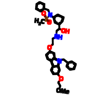 COCCOc1ccc2c3ccc(OCCNC[C@H](O)c4cccc(N(Cc5ccccc5)S(C)(=O)=O)c4)cc3n(Cc3ccccc3)c2c1